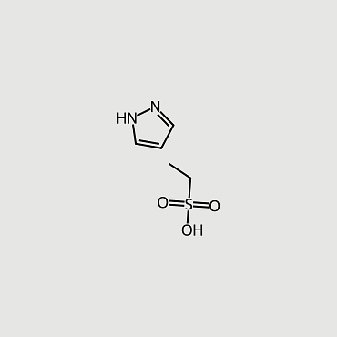 CCS(=O)(=O)O.c1cn[nH]c1